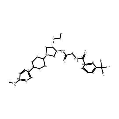 CCO[C@H]1CN(C2CCC(c3ccc(OC)nc3)CC2)C[C@@H]1NC(=O)CNC(=O)c1cccc(C(F)(F)F)c1